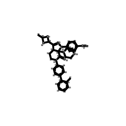 COc1ccc(N2N=C(C3OC(C)O3)C3CCN(c4ccc(-c5ccccc5C)cc4)C(=O)C32N2CCOCC2)cc1